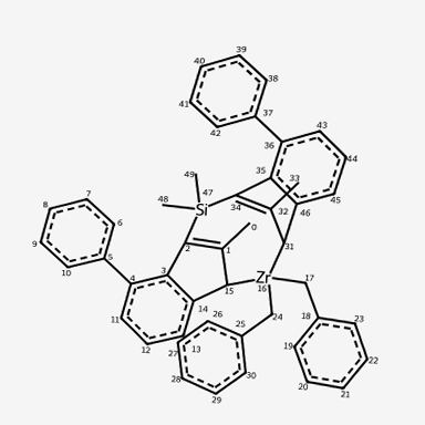 CC1=C2c3c(-c4ccccc4)cccc3[CH]1[Zr]([CH2]c1ccccc1)([CH2]c1ccccc1)[CH]1C(C)=C(c3c(-c4ccccc4)cccc31)[Si]2(C)C